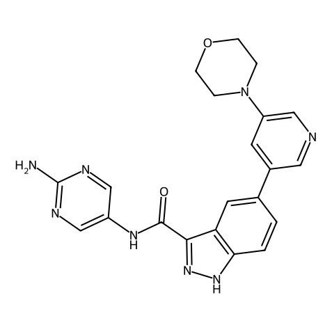 Nc1ncc(NC(=O)c2n[nH]c3ccc(-c4cncc(N5CCOCC5)c4)cc23)cn1